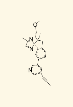 CC#Cc1cncc(-c2ccc3c(c2)[C@@]2(N=CC(C)=N2)C2(CCC(OC)CC2)C3)c1